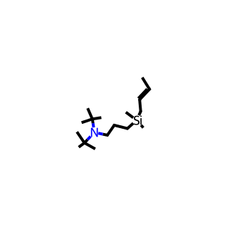 CC=CC[Si](C)(C)CCCN(C(C)(C)C)C(C)(C)C